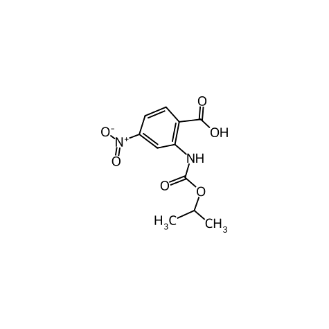 CC(C)OC(=O)Nc1cc([N+](=O)[O-])ccc1C(=O)O